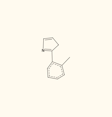 Cc1ccccc1C1=NC=CC1